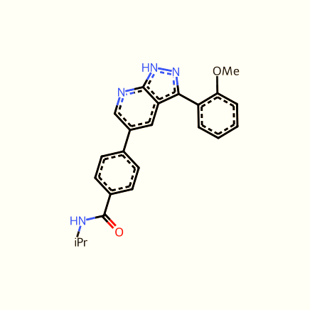 COc1ccccc1-c1n[nH]c2ncc(-c3ccc(C(=O)NC(C)C)cc3)cc12